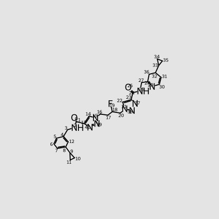 O=C(NCc1cccc(C2CC2)c1)c1cn(CCC(F)Cn2cc(C(=O)NCC3=NC=CC(C4CC4)C3)nn2)nn1